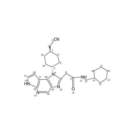 N#CC[C@H]1CC[C@H](n2c(CC(=O)NCC3CCCCC3)nc3cnc4[nH]ccc4c32)CC1